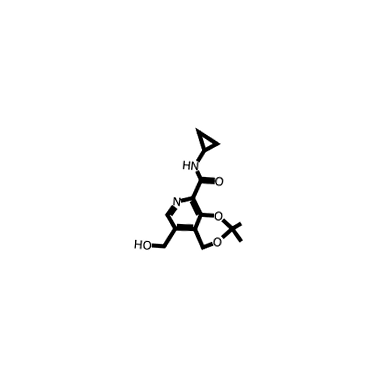 CC1(C)OCc2c(CO)cnc(C(=O)NC3CC3)c2O1